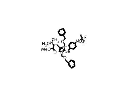 COC(=O)[C@H](Cc1cn(COCc2ccccc2)c([Se]c2ccc([N+](=O)[O-])cc2)[n+]1COCc1ccccc1)N(C)C.F[B-](F)(F)F